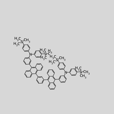 C[Si](C)(C)c1ccc(N(c2ccc([Si](C)(C)C)cc2)c2cccc(-c3c4ccccc4c(-c4cccc(-c5c6ccccc6c(-c6cccc(N(c7ccc([Si](C)(C)C)cc7)c7ccc([Si](C)(C)C)cc7)c6)c6ccccc56)c4)c4ccccc34)c2)cc1